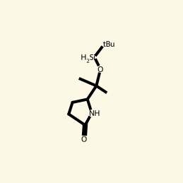 CC(C)(C)[SiH2]OC(C)(C)C1CCC(=O)N1